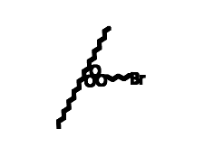 CCCCCCCCCCC(CCCCCCCCCC)OC(=O)OCCCCCBr